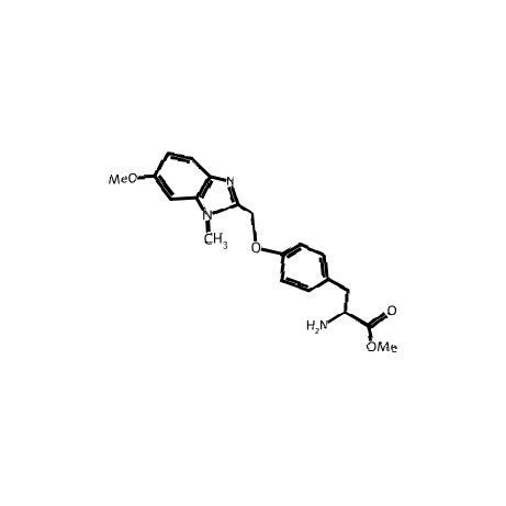 COC(=O)C(N)Cc1ccc(OCc2nc3ccc(OC)cc3n2C)cc1